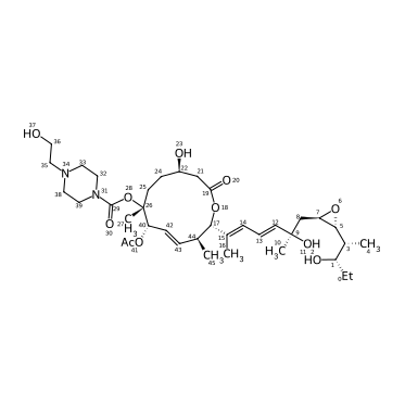 CC[C@H](O)[C@@H](C)[C@H]1O[C@@H]1C[C@@](C)(O)/C=C/C=C(\C)[C@H]1OC(=O)C[C@H](O)CC[C@@](C)(OC(=O)N2CCN(CCO)CC2)[C@@H](OC(C)=O)/C=C/[C@@H]1C